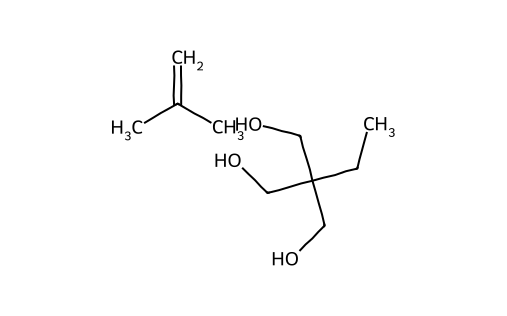 C=C(C)C.CCC(CO)(CO)CO